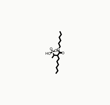 CCCCCCOC(=O)C(CCCCCC)C(C)P(=O)(O)O